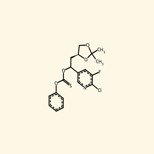 CC1(C)OC[C@H](CC(OC(=S)Oc2ccccc2)c2cnc(Cl)c(F)c2)O1